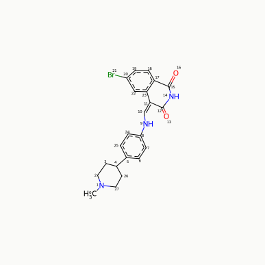 CN1CCC(c2ccc(N/C=C3\C(=O)NC(=O)c4ccc(Br)cc43)cc2)CC1